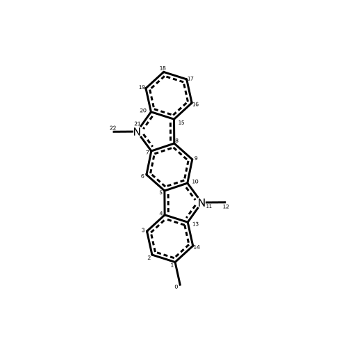 Cc1ccc2c3cc4c(cc3n(C)c2c1)c1ccccc1n4C